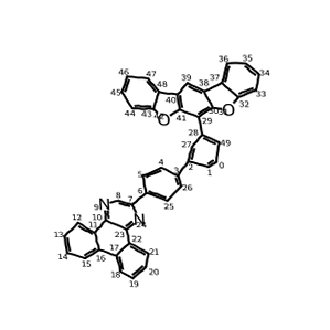 c1cc(-c2ccc(-c3cnc4c5ccccc5c5ccccc5c4n3)cc2)cc(-c2c3oc4ccccc4c3cc3c2oc2ccccc23)c1